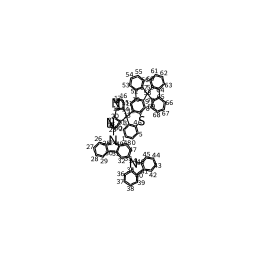 c1ccc2c(c1)Sc1cc3c(cc1C21c2cccnc2-c2ncc(-n4c5ccccc5c5cc(-n6c7ccccc7c7ccccc76)ccc54)cc21)-c1ccccc1C31c2ccccc2-c2ccccc21